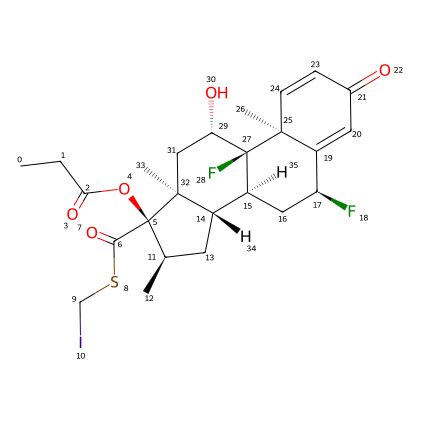 CCC(=O)O[C@]1(C(=O)SCI)[C@H](C)C[C@H]2[C@@H]3C[C@H](F)C4=CC(=O)C=C[C@]4(C)[C@@]3(F)[C@@H](O)C[C@@]21C